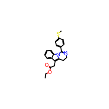 CCOC(=O)Cc1c2n(c3ccccc13)C(c1ccc(SC)cc1)=NCC2